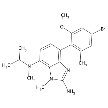 COc1cc(Br)cc(C)c1-c1ccc(N(C)C(C)C)c2c1nc(N)n2C